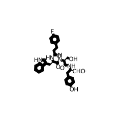 O=[C][C@H](Cc1ccc(O)cc1)NC(=O)[C@H](CO)NC(=O)[C@@H](Cc1c[nH]c2ccccc12)NC(=O)CCc1ccc(F)cc1